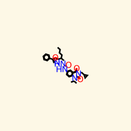 CCCCC(CNC(=O)Nc1ccc2c(c1)c(=O)n(CC1CC1)c(=O)n2C(C)C)c1ncc(-c2ccccc2)o1